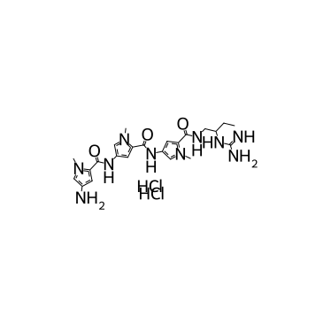 CCC(CNC(=O)c1cc(NC(=O)c2cc(NC(=O)c3cc(N)cn3C)cn2C)cn1C)NC(=N)N.Cl.Cl